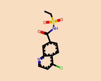 CCS(=O)(=O)NC(=O)c1ccc2c(Cl)ccnc2c1